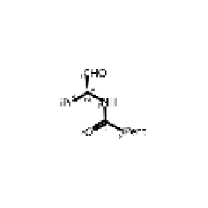 CCCC(C)C(=O)N[C@H](C=O)C(C)C